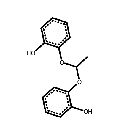 CC(Oc1ccccc1O)Oc1ccccc1O